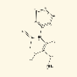 C=C(C)N(/C(C)=C(\CC)CN)c1ccccc1